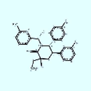 CC[C@@H](c1cccc(C(F)(F)F)n1)N1C(=O)[C@@](C)(CC(=O)O)C[C@H](c2cccc(Cl)c2)[C@H]1c1ccc(Cl)cc1